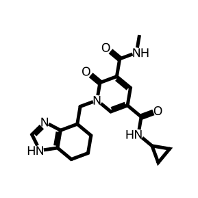 CNC(=O)c1cc(C(=O)NC2CC2)cn(CC2CCCc3[nH]cnc32)c1=O